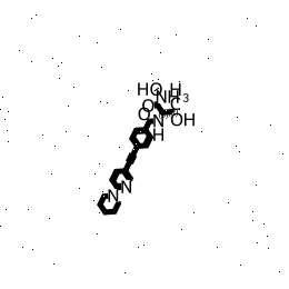 C[C@@H](O)[C@H](NC(=O)c1ccc(C#Cc2ccc(N3CCCCC3)nc2)cc1)C(=O)NO